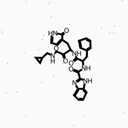 O=C(NCC1CC1)C(=O)C(Cc1ccc[nH]c1=O)NC(=O)C(Cc1ccccc1)NC(=O)c1nc2ccccc2[nH]1